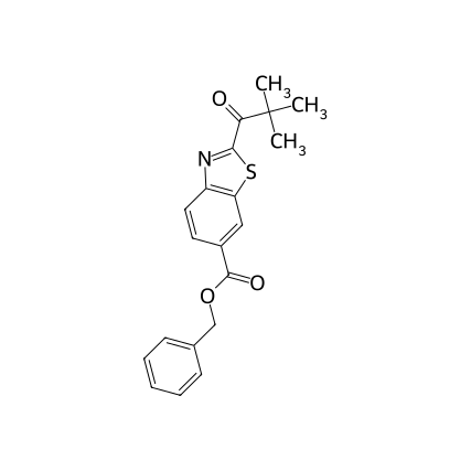 CC(C)(C)C(=O)c1nc2ccc(C(=O)OCc3ccccc3)cc2s1